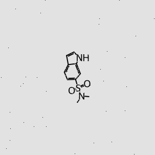 CN(C)S(=O)(=O)c1ccc2cc[nH]c2c1